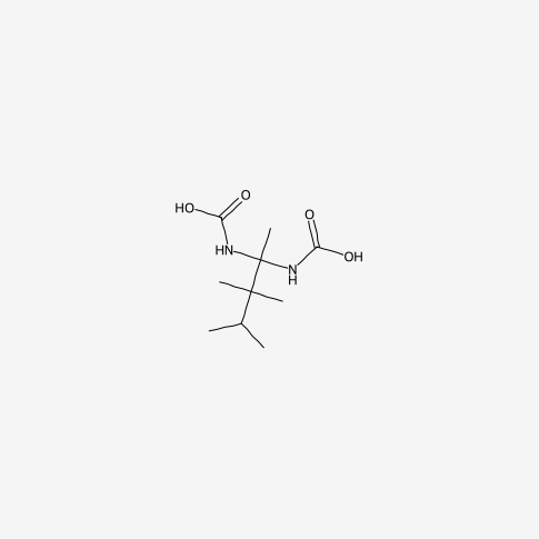 CC(C)C(C)(C)C(C)(NC(=O)O)NC(=O)O